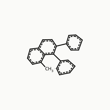 Cc1cccc2ccc(-c3ccccc3)c(-c3[c]cccc3)c12